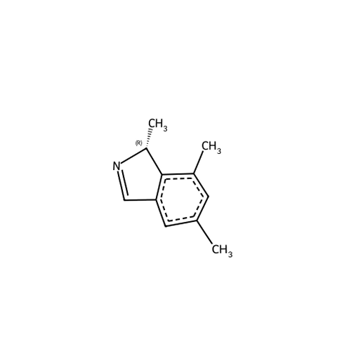 Cc1cc(C)c2c(c1)C=N[C@@H]2C